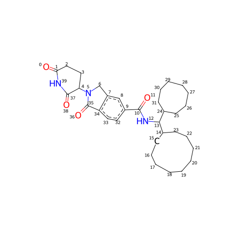 O=C1CCC(N2Cc3cc(C(=O)NC(C4CCCCCCCCC4)C4CCCCCCC4)ccc3C2=O)C(=O)N1